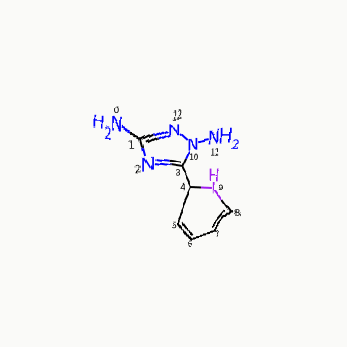 Nc1nc(C2C=CC=C[IH]2)n(N)n1